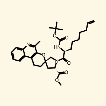 C=CCCCCC[C@H](NC(=O)OC(C)(C)C)C(=O)N1C[C@]2(CCc3c(c(C)nc4ccccc34)O2)C[C@H]1C(=O)OC